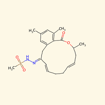 Cc1cc(C)c2c(c1)CC(=NNS(C)(=O)=O)/C=C/CC/C=C/CC(C)OC2=O